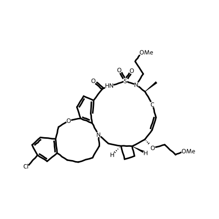 COCCO[C@H]1/C=C\C[C@H](C)N(CCOC)S(=O)(=O)NC(=O)c2ccc3c(c2)N(CCCCc2cc(Cl)ccc2CO3)C[C@@H]2CC[C@H]21